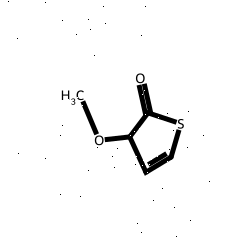 COC1C=CSC1=O